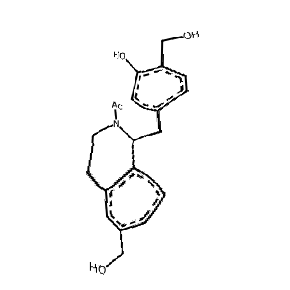 CC(=O)N1CCc2cc(CO)ccc2C1Cc1ccc(CO)c(O)c1